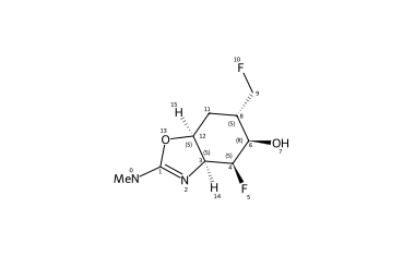 CNC1=N[C@@H]2[C@H](F)[C@H](O)[C@@H](CF)C[C@@H]2O1